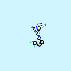 C[C@]1(c2ccc(Cl)cc2F)C=Cc2cccc(C3CCN(Cc4nc5ccc(C(=O)O)nc5n4C[C@@H]4CCO4)CC3)c2O1